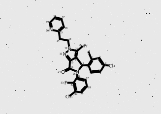 Cc1cc(Cl)ccc1C1c2c(nn(CCc3ccccn3)c2C(C)C)C(=O)N1c1cccc(Cl)c1F